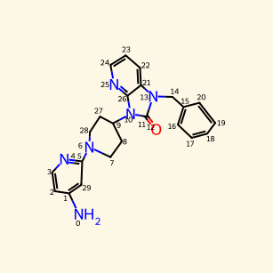 Nc1ccnc(N2CCC(n3c(=O)n(Cc4ccccc4)c4cccnc43)CC2)c1